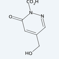 O=C(O)n1ncc(CO)cc1=O